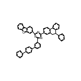 c1ccc(-c2ccc(-c3cccc(-c4nc(-c5ccc6c(c5)CC(c5ccccc5)c5ccccc5-6)nc(-c5ccc6c(c5)oc5ccccc56)n4)c3)cc2)cc1